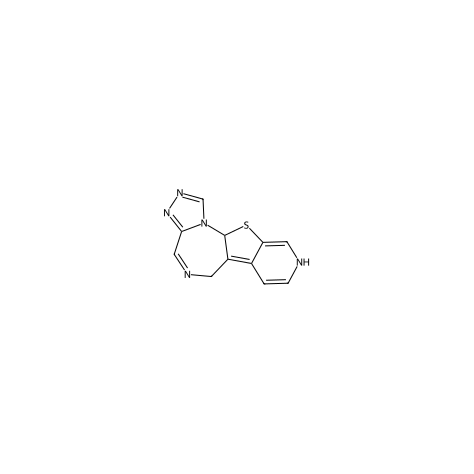 C1=CC2=C3CN=Cc4nncn4C3SC2=CN1